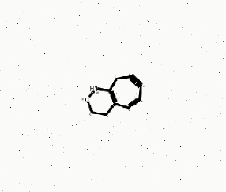 C1#CCC2=C(C=C1)CCON2